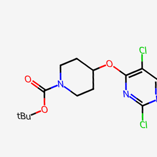 CC(C)(C)OC(=O)N1CCC(Oc2nc(Cl)ncc2Cl)CC1